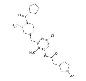 CC(=O)N1CCC(CC(=O)Nc2cc(Cl)cc(CN3CCN(C(=O)C4CCCC4)[C@@H](C)C3)c2C)C1